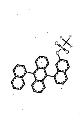 O=S(=O)(Oc1ccc2cccc(-c3c4ccccc4c(-c4cccc5ccccc45)c4ccccc34)c2c1)C(F)(F)F